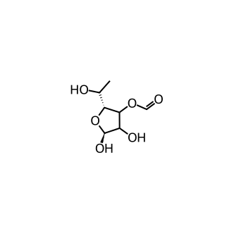 CC(O)[C@H]1O[C@H](O)C(O)C1OC=O